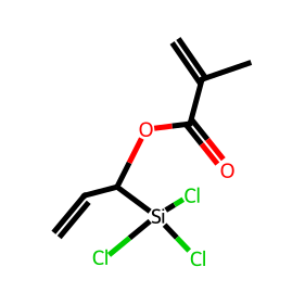 C=CC(OC(=O)C(=C)C)[Si](Cl)(Cl)Cl